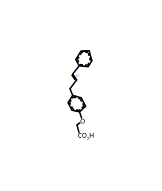 O=C(O)COc1ccc(C/C=C/c2ccccc2)cc1